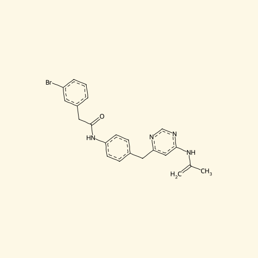 C=C(C)Nc1cc(Cc2ccc(NC(=O)Cc3cccc(Br)c3)cc2)ncn1